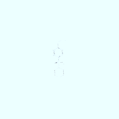 COc1ccc(P(=S)(S)N2CCOCC2)cc1